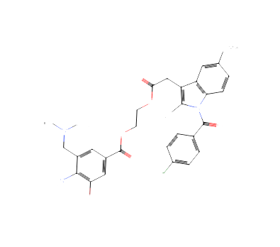 CCCN(C)Cc1cc(C(=O)OCCOC(=O)Cc2c(C)n(C(=O)c3ccc(Cl)cc3)c3ccc(OC)cc23)cc(Br)c1N